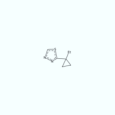 CCC1(c2nncs2)CC1